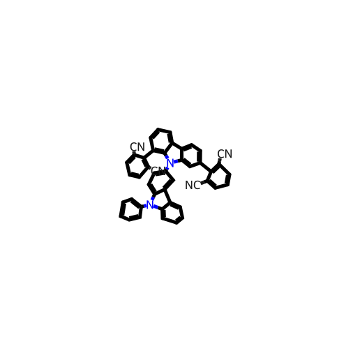 N#Cc1cccc(C#N)c1-c1ccc2c3cccc(-c4c(C#N)cccc4C#N)c3n(-c3ccc4c(c3)c3ccccc3n4-c3ccccc3)c2c1